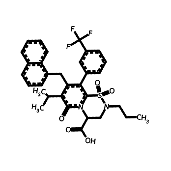 CCCN1CC(C(=O)O)n2c(c(-c3cccc(C(F)(F)F)c3)c(Cc3cccc4ccccc34)c(C(C)C)c2=O)S1(=O)=O